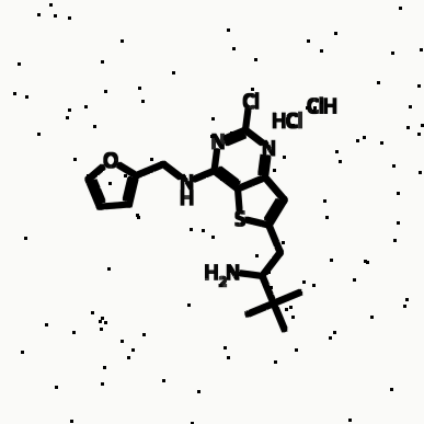 CC(C)(C)C(N)Cc1cc2nc(Cl)nc(NCc3ccco3)c2s1.Cl.Cl